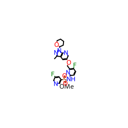 COc1ncc(F)cc1S(=O)(=O)Nc1ccc(F)c(COc2cnc3c(c2)c(C)nn3C2CCCCO2)n1